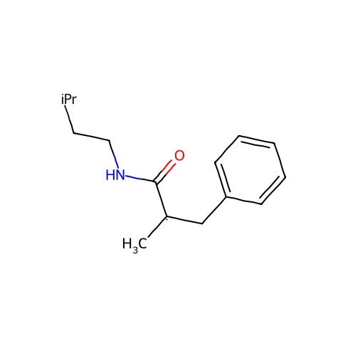 C[C](Cc1ccccc1)C(=O)NCCC(C)C